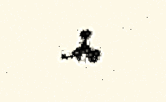 C=C(F)COCN1CCN(c2nc(OCC34CCCN3CCC4)nc3c2CCN(c2cccc4cccc(Cl)c24)C3)C[C@@H]1CC#N